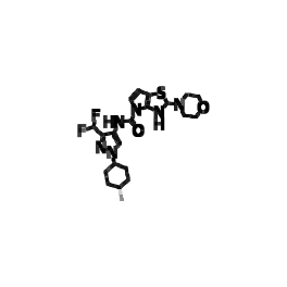 C[C@H]1CC[C@H](n2cc(NC(=O)n3ccc4c3NC(N3CCOCC3)S4)c(C(F)F)n2)CC1